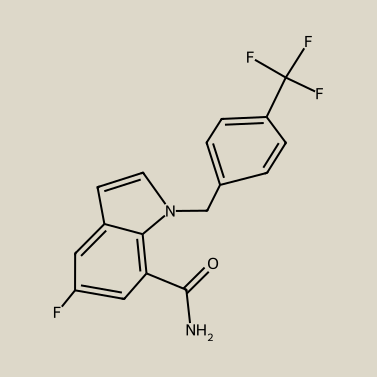 NC(=O)c1cc(F)cc2ccn(Cc3ccc(C(F)(F)F)cc3)c12